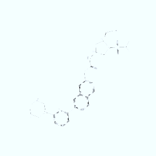 C[C@@H]1CN(c2cccc(-c3ccc4cnc(CC(=O)N[C@H]5C[C@@H](CO)N(S(=O)(=O)C(F)F)C5)cc4c3)n2)C[C@H](C)O1